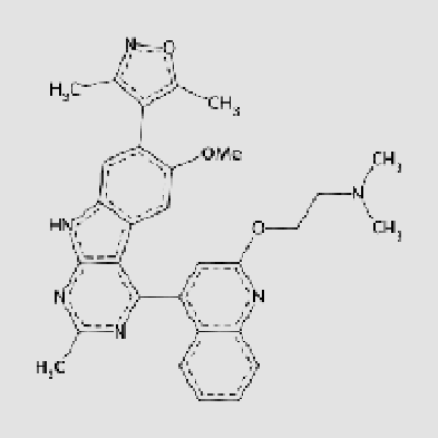 COc1cc2c(cc1-c1c(C)noc1C)[nH]c1nc(C)nc(-c3cc(OCCN(C)C)nc4ccccc34)c12